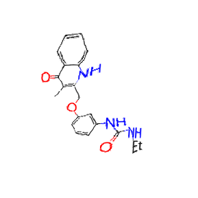 CCNC(=O)Nc1cccc(OCc2[nH]c3ccccc3c(=O)c2C)c1